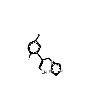 N#CC=C(Cn1cncn1)c1cc(F)ccc1F